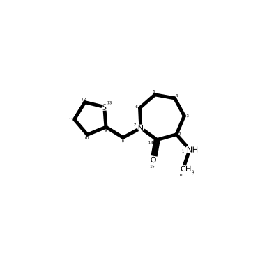 CNC1CCCCN(CC2CCCS2)C1=O